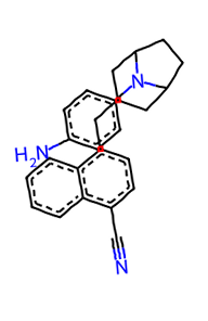 N#Cc1ccc(CC2CC3CCC(C2)N3c2ccc(N)cc2)c2ccccc12